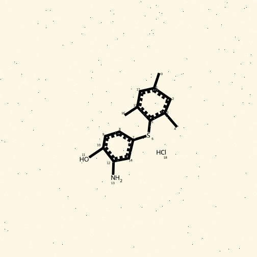 Cc1cc(C)c(Sc2ccc(O)c(N)c2)c(C)c1.Cl